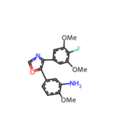 COc1ccc(-c2ocnc2-c2cc(OC)c(F)c(OC)c2)cc1N